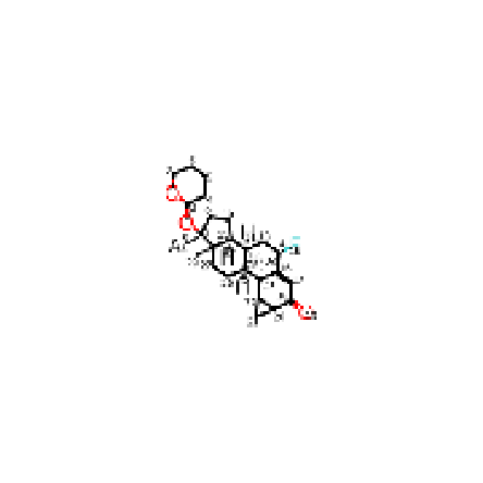 CC(=O)[C@@]1(OC2CCCCO2)CC[C@H]2[C@@H]3C[C@@H](F)C4=CC(=O)C5CC5[C@@]4(C)[C@@H]3CC[C@@]21C